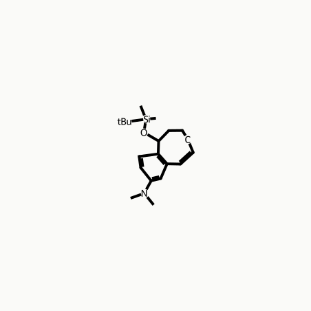 CN(C)c1ccc2c(c1)/C=C\CCCC2O[Si](C)(C)C(C)(C)C